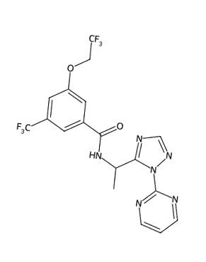 CC(NC(=O)c1cc(OCC(F)(F)F)cc(C(F)(F)F)c1)c1ncnn1-c1ncccn1